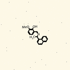 COc1cccc(/C=N\C(C)c2cccc3ccccc23)c1O